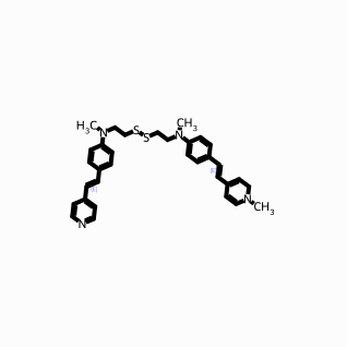 CN1C=CC(/C=C/c2ccc(N(C)CCSSCCN(C)c3ccc(/C=C/c4ccncc4)cc3)cc2)=CC1